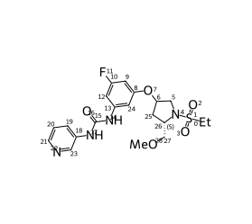 CCS(=O)(=O)N1CC(Oc2cc(F)cc(NC(=O)Nc3cccnc3)c2)C[C@H]1COC